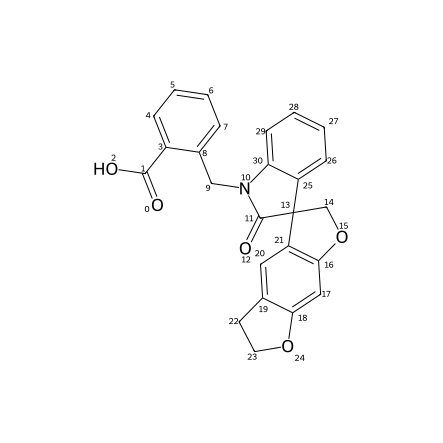 O=C(O)c1ccccc1CN1C(=O)C2(COc3cc4c(cc32)CCO4)c2ccccc21